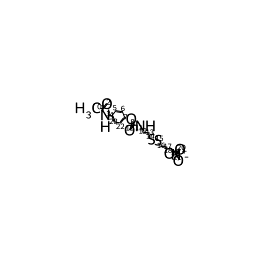 CC(=O)Nc1ccc(OC(=O)NCCSSCCO[N+](=O)[O-])cc1